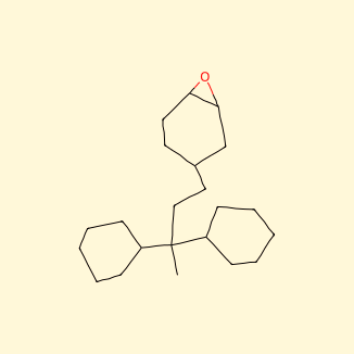 CC(CCC1CCC2OC2C1)(C1CCCCC1)C1CCCCC1